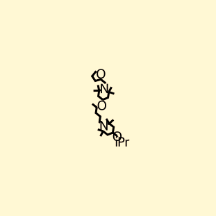 CC(C)OC1CC(C)(C)N(CCCC(C)OC2CC(C)(C)N(CC3CCCO3)C(C)(C)C2)C(C)(C)C1